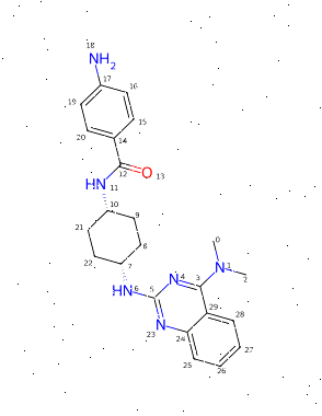 CN(C)c1nc(N[C@H]2CC[C@@H](NC(=O)c3ccc(N)cc3)CC2)nc2ccccc12